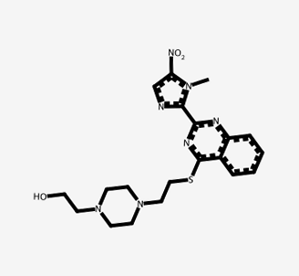 Cn1c([N+](=O)[O-])cnc1-c1nc(SCCN2CCN(CCO)CC2)c2ccccc2n1